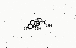 C[C@H](CO)[C@H]1CC[C@H]2[C@@H]3CCC4=CC(=O)CC[C@]4(C)[C@H]3C(O)C[C@]12C